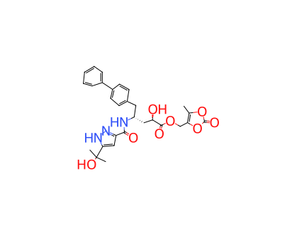 Cc1oc(=O)oc1COC(=O)[C@H](O)C[C@@H](Cc1ccc(-c2ccccc2)cc1)NC(=O)c1cc(C(C)(C)O)[nH]n1